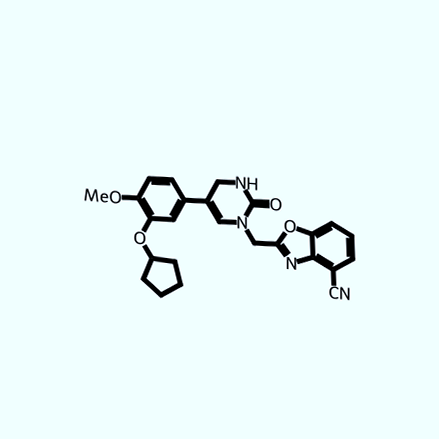 COc1ccc(C2=CN(Cc3nc4c(C#N)cccc4o3)C(=O)NC2)cc1OC1CCCC1